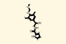 COCOc1c(C)cc(C(O)CNC(=O)c2ccc[nH]2)cc1C